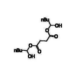 CCCCC(O)OC(=O)CCC(=O)OC(O)CCCC